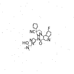 CN(C)C(O)Cn1cc(NC(=O)c2cnc3ccc(F)cc3c2N2CCC(C#N)(c3ccccc3)CC2)cn1